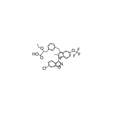 CCOC(Cc1cccc(Cc2c(C)n(-c3noc4cc(Cl)ccc34)c3ccc(OC(F)(F)F)cc23)c1)C(=O)O